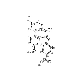 CCN1CCN(C(=O)N(Cc2ccc(C(=O)OC)cn2)c2cccc(OC)c2)CC1